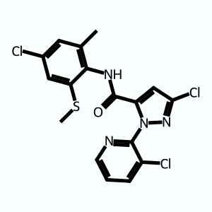 CSc1cc(Cl)cc(C)c1NC(=O)c1cc(Cl)nn1-c1ncccc1Cl